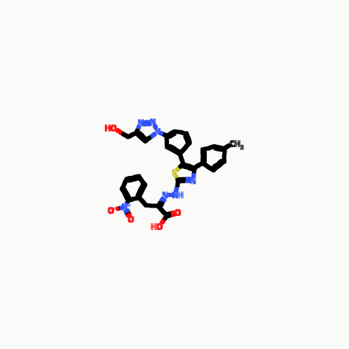 Cc1ccc(-c2nc(N/N=C(/Cc3ccccc3[N+](=O)[O-])C(=O)O)sc2-c2cccc(-n3cc(CO)nn3)c2)cc1